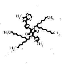 CCCCCCCCC(CCCCCC)CN1C(=O)C2=C(c3ccc(-c4sc(C)c5c4OCCO5)s3)N(CC(CCCCCC)CCCCCCCC)C(=O)C2=C1c1ccc(C)s1